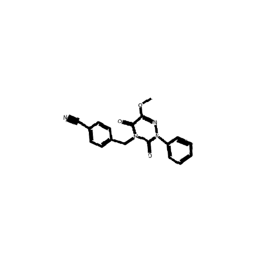 COc1nn(-c2ccccc2)c(=O)n(Cc2ccc(C#N)cc2)c1=O